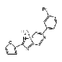 CC(C)c1cccc(C2=C[N+]3(N)N=C(c4ccco4)N=C3C=N2)c1